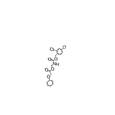 O=C(COc1ccccc1)OCNC(=O)OCc1ccc(Cl)cc1Cl